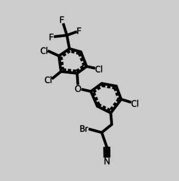 N#CC(Br)Cc1cc(Oc2c(Cl)cc(C(F)(F)F)c(Cl)c2Cl)ccc1Cl